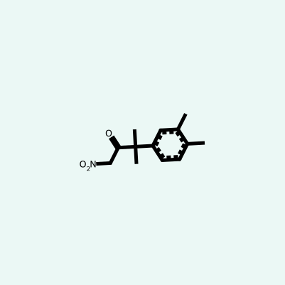 Cc1ccc(C(C)(C)C(=O)C[N+](=O)[O-])cc1C